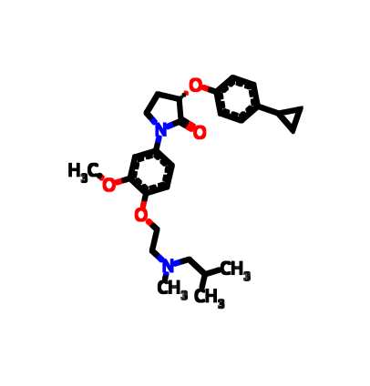 COc1cc(N2CC[C@H](Oc3ccc(C4CC4)cc3)C2=O)ccc1OCCN(C)CC(C)C